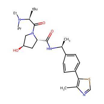 CCN(C(C)C)[C@H](C(=O)N1C[C@H](O)C[C@H]1C(=O)N[C@@H](C)c1ccc(-c2scnc2C)cc1)C(C)(C)C